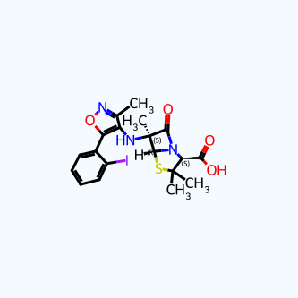 Cc1noc(-c2ccccc2I)c1N[C@@]1(C)C(=O)N2[C@@H](C(=O)O)C(C)(C)S[C@@H]21